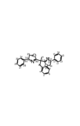 CC(Cc1ccccc1)(C1=N[C@@H](c2ccccc2)CO1)C1=N[C@@H](c2ccccc2)CO1